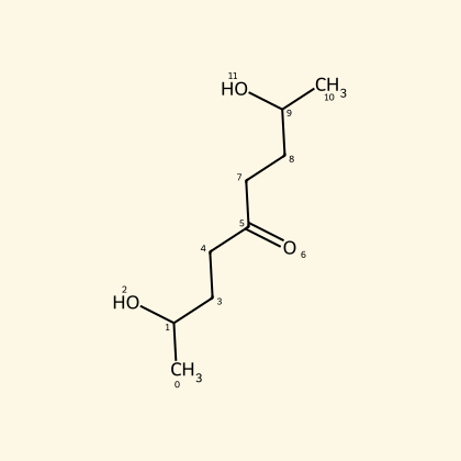 CC(O)CCC(=O)CCC(C)O